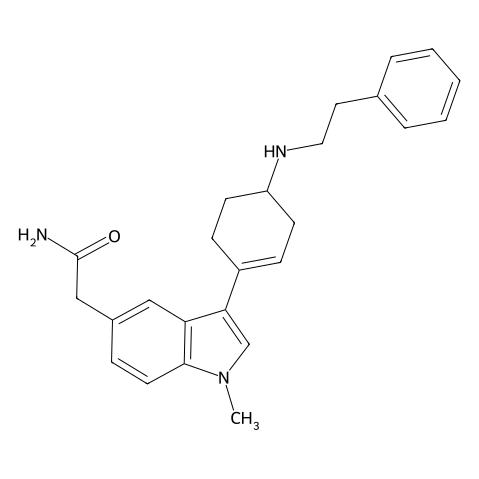 Cn1cc(C2=CCC(NCCc3ccccc3)CC2)c2cc(CC(N)=O)ccc21